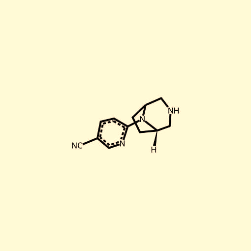 N#Cc1ccc(N2C3CC[C@H]2CNC3)nc1